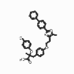 Cc1oc(-c2ccc(-c3ccccc3)cc2)nc1CCOc1ccc(CC(C)(Oc2ccc(Cl)cc2)C(=O)O)cc1